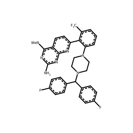 CNc1nc(N)nc2nc(-c3c(N4CCN(C(c5ccc(F)cc5)c5ccc(F)cc5)CC4)cccc3C(F)(F)F)ccc12